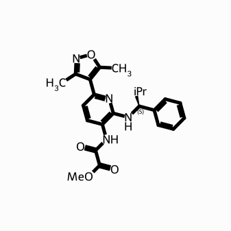 COC(=O)C(=O)Nc1ccc(-c2c(C)noc2C)nc1N[C@H](c1ccccc1)C(C)C